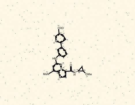 CNc1cc(Nc2cccc(-c3ccc(C=O)cn3)c2)nn2c(C(=O)N[C@@H]3CC3OC)cnc12